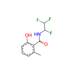 Cc1cccc(O)c1C(=O)NC(F)C(F)F